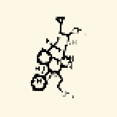 CCCC(c1nnc(CNC(C)CC2CC2)n1-c1c(C(=O)c2ccccc2)cccc1C(F)(F)F)N(C)C